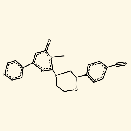 Cn1c(N2CCO[C@H](c3ccc(C#N)cc3)C2)nc(-c2ccncc2)cc1=O